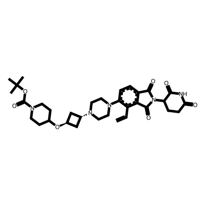 C=Cc1c(N2CCN([C@H]3C[C@H](OC4CCN(C(=O)OC(C)(C)C)CC4)C3)CC2)ccc2c1C(=O)N(C1CCC(=O)NC1=O)C2=O